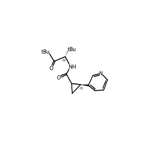 CC(C)(C)C(=O)[C@@H](NC(=O)C1C[C@@H]1c1cccnc1)C(C)(C)C